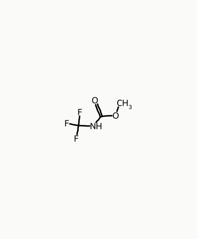 COC(=O)NC(F)(F)F